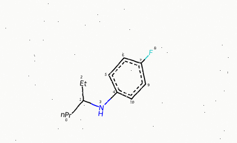 CCCC(CC)Nc1ccc(F)cc1